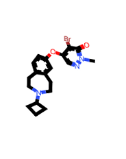 Cn1ncc(Oc2ccc3c(c2)CCN(C2CCC2)CC3)c(Br)c1=O